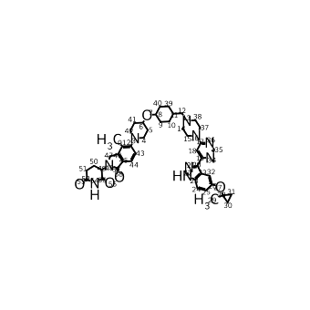 Cc1c(N2CCC(OC3CCC(CN4CCN(c5cc(-c6n[nH]c7ccc(OC8(C)CC8)cc67)ncn5)CC4)CC3)CC2)ccc2c1CN(C1CCC(=O)NC1=O)C2=O